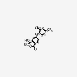 CCC1(O)OC(=O)c2ccc(Oc3ccc(C(F)(F)F)cc3Cl)cc21